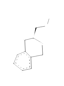 CCOC[C@@H]1Cc2ccccc2CN1